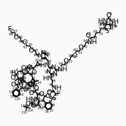 CC(=O)O[C@@]12CO[C@@H]1C[C@H](O)[C@@]1(C)C(=O)[C@H](OC(=O)C3CC3)C3=C(C)[C@@H](OC(=O)[C@H](OC(=O)Cc4ccccc4SSC(C)C(=O)NCCNc4nc(NCCOCCOCCOCCNC(=O)CCCC[C@@H]5SC[C@@H]6NC(=O)N[C@@H]65)nc(NCc5cn(CCOCCOCCOCCF)nn5)n4)[C@H](C=C(C)C)NC(=O)OC(C)(C)C)C[C@@](O)([C@@H](OC(=O)c4ccccc4)[C@H]21)C3(C)C